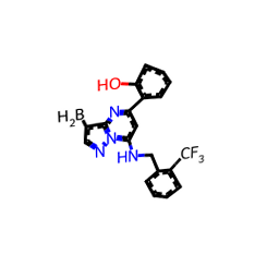 Bc1cnn2c(NCc3ccccc3C(F)(F)F)cc(-c3ccccc3O)nc12